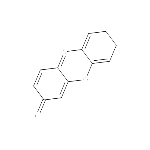 O=c1ccc2nc3c(oc-2c1)=CCCC=3